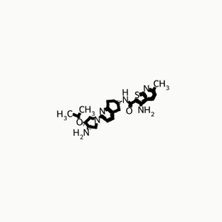 Cc1ccc2c(N)c(C(=O)N[C@H]3CCc4nc(N5C[C@H](N)[C@H](OC(C)C)C5)ccc4C3)sc2n1